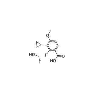 COc1ccc(C(=O)O)c(F)c1C1CC1.OCF